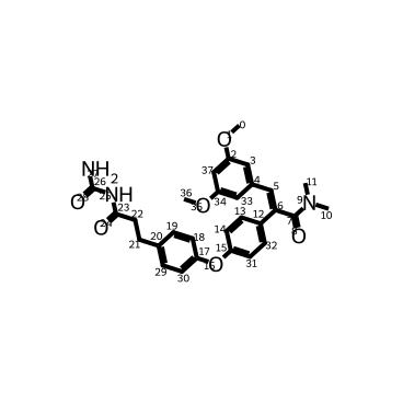 COc1cc(/C=C(/C(=O)N(C)C)c2ccc(Oc3ccc(CCC(=O)NC(N)=O)cc3)cc2)cc(OC)c1